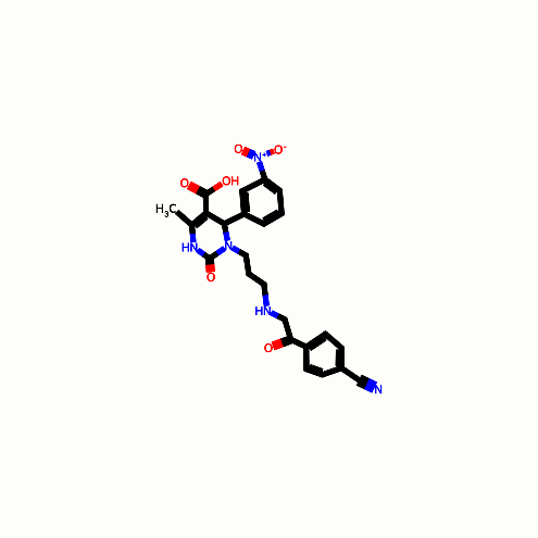 CC1=C(C(=O)O)C(c2cccc([N+](=O)[O-])c2)N(CCCNCC(=O)c2ccc(C#N)cc2)C(=O)N1